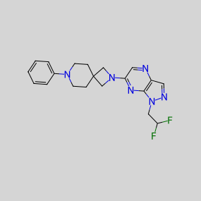 FC(F)Cn1ncc2ncc(N3CC4(CCN(c5ccccc5)CC4)C3)nc21